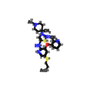 CC(=O)OCCSc1cnc(NC2=CN(C3(C)CCN(C(C)=O)CC3)NS2)c(Oc2cccnc2C)c1